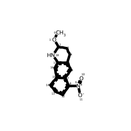 COC1CCc2cc3c([N+](=O)[O-])cccc3cc2N1